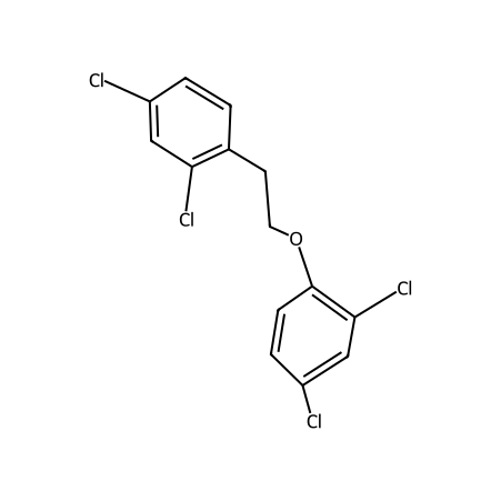 Clc1ccc(CCOc2ccc(Cl)cc2Cl)c(Cl)c1